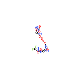 O=C1CCC(N2C(=O)c3cccc(NCCOCCOCCOCCOCCN4CCN(C(=O)c5cc6cc(N7CCC(O)(C(=O)NCc8cc(F)cc(F)c8)C7=O)ccc6[nH]5)CC4)c3C2=O)C(=O)N1